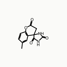 Cc1ccc2c(c1)C1(CC(=O)O2)NC(=O)NC1=O